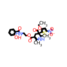 CCOC(=O)C1(c2ccc([N+](=O)[O-])s2)CC(C(=O)OCCNC(=O)c2ccccc2O)=C(C)NC1C